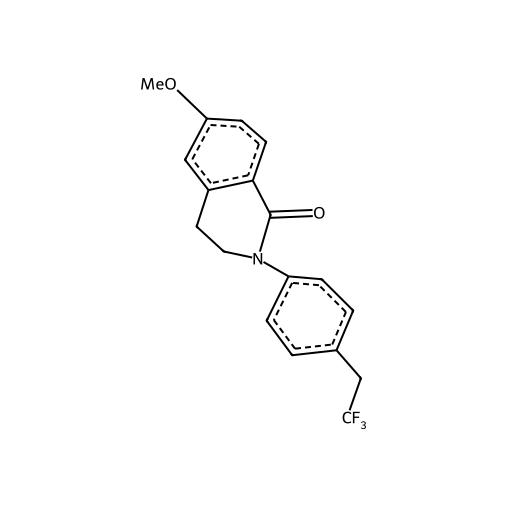 COc1ccc2c(c1)CCN(c1ccc(CC(F)(F)F)cc1)C2=O